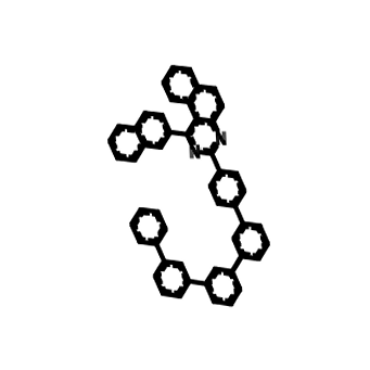 c1ccc(-c2cccc(-c3cccc(-c4cccc(-c5ccc(-c6nc(-c7ccc8ccccc8c7)c7c(ccc8ccccc87)n6)cc5)c4)c3)c2)cc1